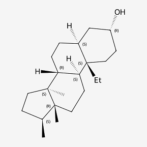 CC[C@]12CC[C@@H](O)C[C@@H]1CC[C@@H]1[C@@H]2CC[C@]2(C)[C@@H](C)CC[C@@]12C